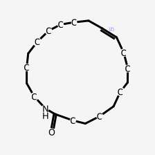 O=C1CCCCCCCC/C=C\CCCCCCCCCN1